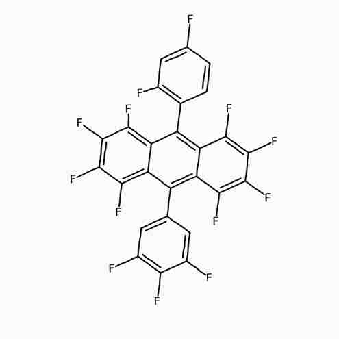 Fc1ccc(-c2c3c(F)c(F)c(F)c(F)c3c(-c3cc(F)c(F)c(F)c3)c3c(F)c(F)c(F)c(F)c23)c(F)c1